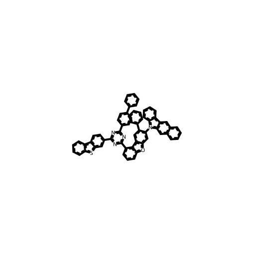 c1ccc(-c2ccc(-c3nc(-c4ccc5c(c4)sc4ccccc45)nc(-c4cccc5oc6cc(-n7c8ccccc8c8cc9ccccc9cc87)c(-c7ccccc7)cc6c45)n3)cc2)cc1